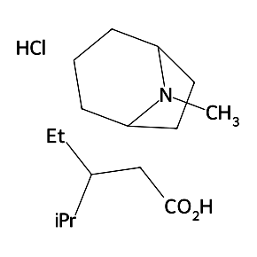 CCC(CC(=O)O)C(C)C.CN1C2CCCC1CC2.Cl